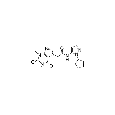 Cn1c(=O)c2c(ncn2CC(=O)Nc2ccnn2C2CCCC2)n(C)c1=O